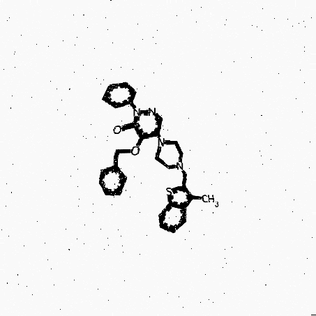 Cc1c(CN2CCN(c3cnn(-c4ccccc4)c(=O)c3OCc3ccccc3)CC2)sc2ccccc12